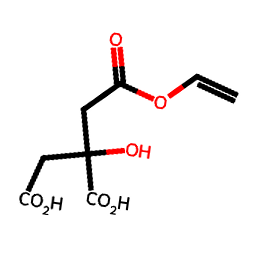 C=COC(=O)CC(O)(CC(=O)O)C(=O)O